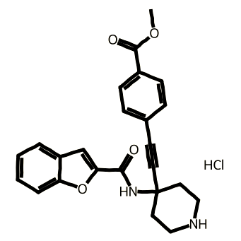 COC(=O)c1ccc(C#CC2(NC(=O)c3cc4ccccc4o3)CCNCC2)cc1.Cl